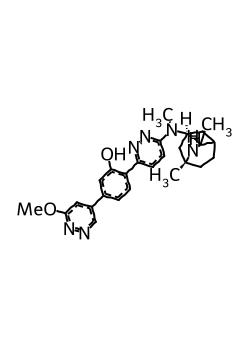 COc1cc(-c2ccc(-c3ccc(N(C)[C@H]4CC5CC[C@](C)(C4)N[C@@H]5C)nn3)c(O)c2)cnn1